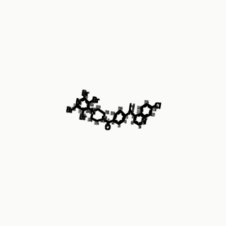 O=C(c1ccc(Nc2ccnc3cc(Cl)ccc23)cc1)N1CCN(c2c(Br)c(Br)nc(Br)c2Br)CC1